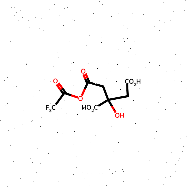 O=C(O)CC(O)(CC(=O)OC(=O)C(F)(F)F)C(=O)O